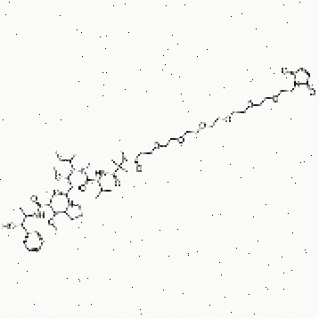 CCC(C)C(C(CC(=O)N1CCC[C@H]1C(OC)C(C)C(=O)NC(C)C(O)c1ccccc1)OC)N(C)C(=O)C(NC(=O)C(C)(C)N(C)C(=O)CCOCCOCCOCCOCCOCCOCCN1C(=O)C=CC1=O)C(C)C